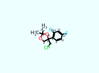 CC1(C)OCC(CCl)(c2ccc(F)cc2F)O1